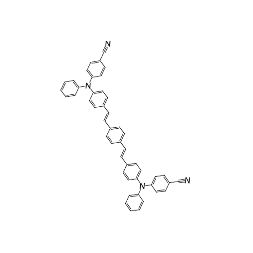 N#Cc1ccc(N(c2ccccc2)c2ccc(C=Cc3ccc(C=Cc4ccc(N(c5ccccc5)c5ccc(C#N)cc5)cc4)cc3)cc2)cc1